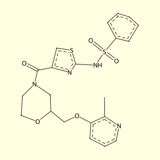 Cc1ncccc1OCC1CN(C(=O)c2csc(NS(=O)(=O)c3ccccc3)n2)CCO1